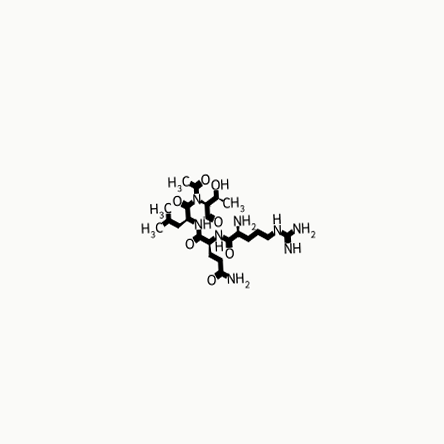 CC(=O)N(C(=O)[C@H](CC(C)C)NC(=O)[C@H](CCC(N)=O)NC(=O)[C@@H](N)CCCNC(=N)N)[C@H]([C]=O)[C@@H](C)O